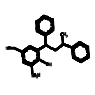 CCCCCCCCCCc1cc(C(CC(C)c2ccccc2)c2ccccc2)c(O)c(S(=O)(=O)O)c1